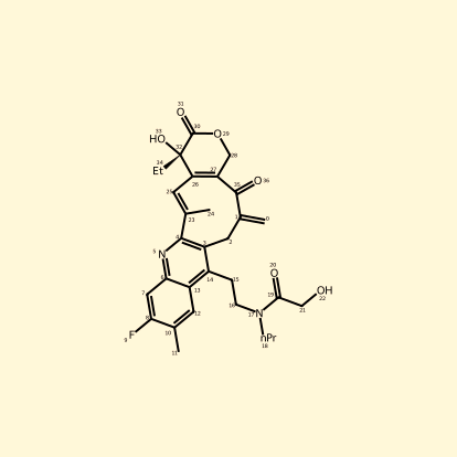 C=C1Cc2c(nc3cc(F)c(C)cc3c2CCN(CCC)C(=O)CO)/C(C)=C/C2=C(COC(=O)[C@]2(O)CC)C1=O